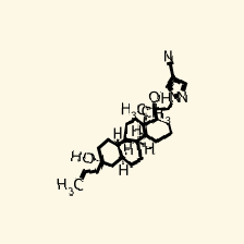 CCC[C@@]1(O)CC[C@H]2[C@@H](CC[C@@H]3[C@@H]2CC[C@@]2(C)[C@H]3CCC[C@@H]2[C@@](C)(O)Cn2cc(C#N)cn2)C1